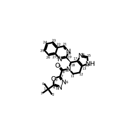 CC(C)(C)c1nnc(C(=O)N2CCc3[nH]cnc3[C@@H]2c2ncc3ccccc3n2)o1